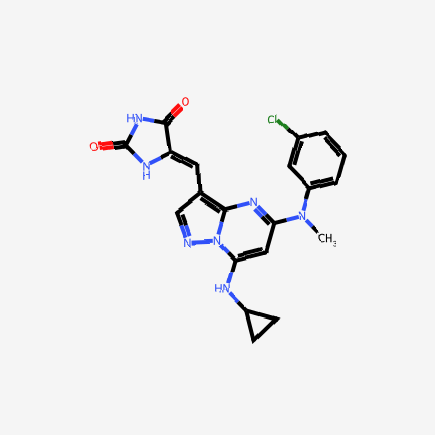 CN(c1cccc(Cl)c1)c1cc(NC2CC2)n2ncc(C=C3NC(=O)NC3=O)c2n1